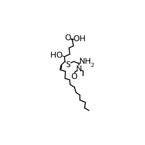 CCCCCCCCCCC/C=C\[C@@H](SC[C@@H](N)N(C=O)CC)[C@@H](O)CCCC(=O)O